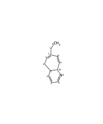 CCC1=CCC2C=CC=NC2C=C1